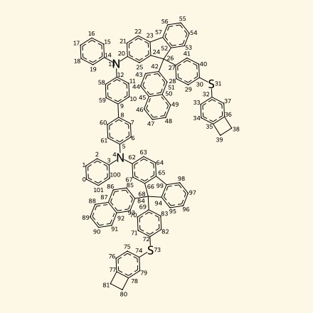 c1ccc(N(c2ccc(-c3ccc(N(c4ccccc4)c4ccc5c(c4)C(c4ccc(Sc6ccc7c(c6)CC7)cc4)(c4ccc6ccccc6c4)c4ccccc4-5)cc3)cc2)c2ccc3c(c2)C(c2ccc(Sc4ccc5c(c4)CC5)cc2)(c2ccc4ccccc4c2)c2ccccc2-3)cc1